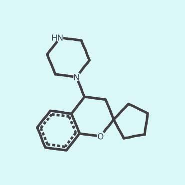 c1ccc2c(c1)OC1(CCCC1)CC2N1CCNCC1